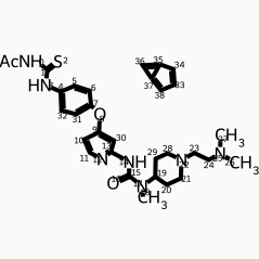 CC(=O)NC(=S)Nc1ccc(Oc2ccnc(NC(=O)N(C)C3CCN(CCN(C)C)CC3)c2)cc1.c1cc2cc-2c1